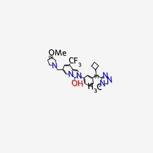 CO[C@H]1CCN(CC2=CN3C(=CN(c4cccc([C@H](c5nncn5C)C5CCC5)c4)C3O)C(C(F)(F)F)=C2)C1